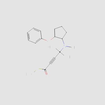 CSC(=O)C#CC(C)(C)N(C)C1CCCC1Oc1ccccc1